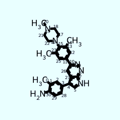 Cc1cc(-c2c[nH]c3nnc(-c4cc(C)c(N5CCN(C)CC5)c(C)c4)cc23)ccc1N